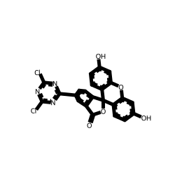 O=C1OC2(c3ccc(O)cc3Oc3cc(O)ccc32)c2ccc(-c3nc(Cl)nc(Cl)n3)cc21